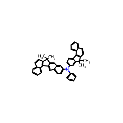 CC1(C)c2cc(N(c3ccccc3)c3ccc4cc5c(cc4c3)C(C)(C)c3ccc4ccccc4c3-5)ccc2-c2c1ccc1ccccc21